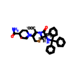 C[C@@]1(NC(c2ccccc2)(c2ccccc2)c2ccccc2)C(=O)N2C(C(=O)[O-])=C([N+]34CCC(C(N)=O)(CC3)CC4)CS[C@H]21